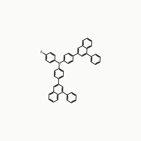 Fc1ccc(N(c2ccc(-c3cc(-c4ccccc4)c4ccccc4c3)cc2)c2ccc(-c3cc(-c4ccccc4)c4ccccc4c3)cc2)cc1